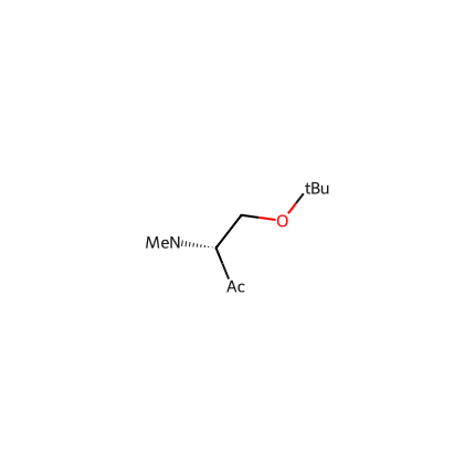 CN[C@H](COC(C)(C)C)C(C)=O